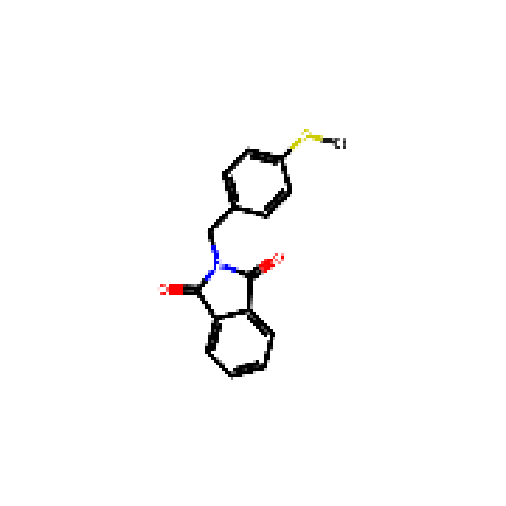 CCSc1ccc(CN2C(=O)c3ccccc3C2=O)cc1